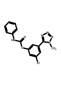 CCc1cc(OC(=O)Nc2ccccc2)cc(-c2nnnn2C)c1